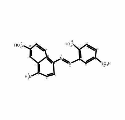 Nc1ccc(N=Nc2cc(S(=O)(=O)O)ccc2S(=O)(=O)O)c2ccc(S(=O)(=O)O)cc12